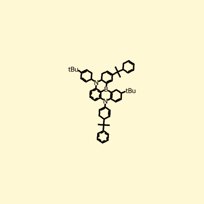 CC(C)(C)C1=CCC(N2c3cccc4c3B(C3=CC(C(C)(C)C5C=CC=CC5)=CCC32)C2=C(C=CC(C(C)(C)C)C2)N4C2=CCC(C(C)(C)c3ccccc3)C=C2)C=C1